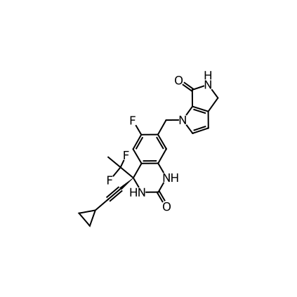 CC(F)(F)[C@@]1(C#CC2CC2)NC(=O)Nc2cc(Cn3ccc4c3C(=O)NC4)c(F)cc21